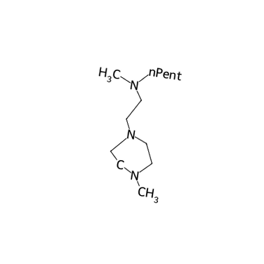 CCCCCN(C)CCN1CCN(C)CC1